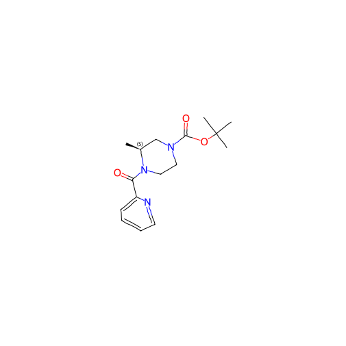 C[C@H]1CN(C(=O)OC(C)(C)C)CCN1C(=O)c1ccccn1